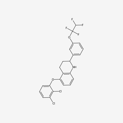 FC(F)C(F)(F)Oc1cccc(C2CCc3c(cccc3Oc3cccc(Cl)c3Cl)N2)c1